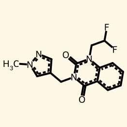 Cn1cc(Cn2c(=O)c3ccccc3n(CC(F)F)c2=O)cn1